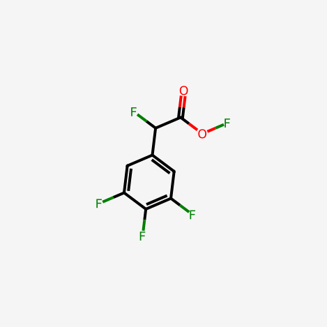 O=C(OF)C(F)c1cc(F)c(F)c(F)c1